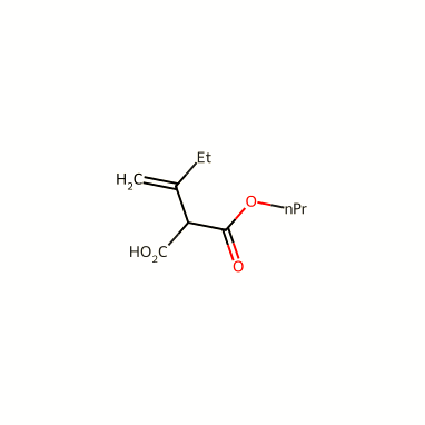 C=C(CC)C(C(=O)O)C(=O)OCCC